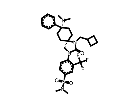 CN(C)S(=O)(=O)c1ccc(N2C[C@]3(CC[C@@](c4ccccc4)(N(C)C)CC3)N(CC3CCC3)C2=O)c(C(F)(F)F)c1